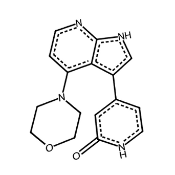 O=c1cc(-c2c[nH]c3nccc(N4CCOCC4)c23)cc[nH]1